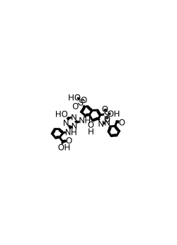 O=Cc1ccccc1/N=N/c1c(S(=O)(=O)O)cc2cc(S(=O)(=O)O)cc(Nc3nc(O)nc(Nc4ccccc4C(=O)O)n3)c2c1O